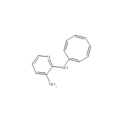 Nc1cccnc1NC1=C/C=C\C=C/C=C\1